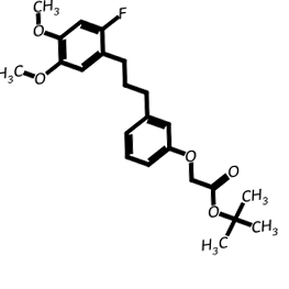 COc1cc(F)c(CCCc2cccc(OCC(=O)OC(C)(C)C)c2)cc1OC